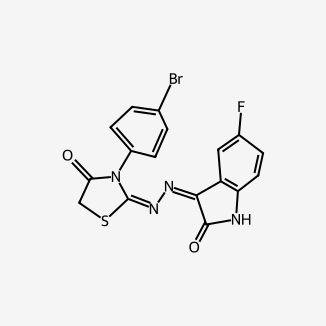 O=C1Nc2ccc(F)cc2C1=NN=C1SCC(=O)N1c1ccc(Br)cc1